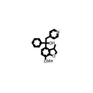 COc1ccc(C(O)(Cc2ccncc2)c2ccccc2)c2c1OCC2C